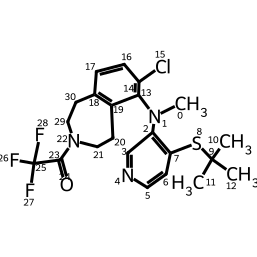 CN(c1cnccc1SC(C)(C)C)c1c(Cl)ccc2c1CCN(C(=O)C(F)(F)F)CC2